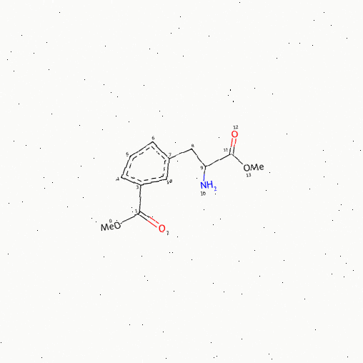 COC(=O)c1cccc(CC(N)C(=O)OC)c1